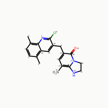 Cc1ccc(C)c2nc(Cl)c(Cc3cc([N+](=O)[O-])c4n(c3=O)CCN4)cc12